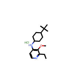 CCc1nccc(NC2CCC(C(C)(C)C)CC2)c1OC.Cl